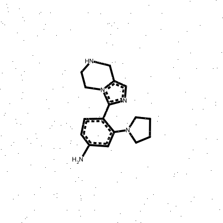 Nc1ccc(-c2ncc3n2CCNC3)c(N2CCCC2)c1